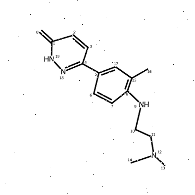 C=C1C=CC(c2ccc(NCCN(C)C)c(C)c2)=NN1